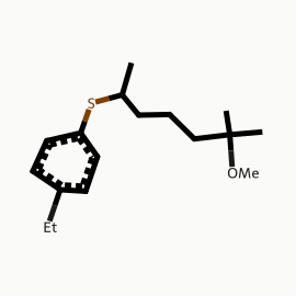 CCc1ccc(SC(C)CCCC(C)(C)OC)cc1